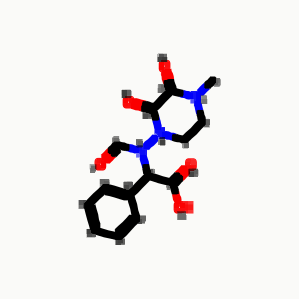 CN1CCN(N(C=O)C(C(=O)O)c2ccccc2)C(=O)C1=O